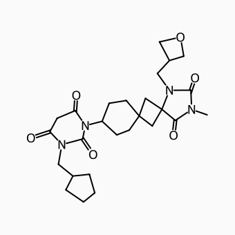 CN1C(=O)N(CC2COC2)C2(CC3(CCC(N4C(=O)CC(=O)N(CC5CCCC5)C4=O)CC3)C2)C1=O